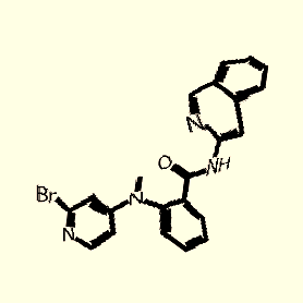 CN(c1ccnc(Br)c1)c1ccccc1C(=O)Nc1cc2ccccc2cn1